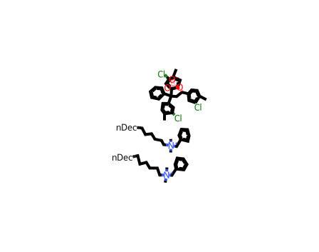 CCCCCCCCCCCCCCCC[N+](C)(C)Cc1ccccc1.CCCCCCCCCCCCCCCC[N+](C)(C)Cc1ccccc1.Cc1ccc(C(CC(c2ccccc2)(c2ccc(C)c(Cl)c2)c2ccc(C)c(Cl)c2)OB([O-])[O-])cc1Cl